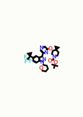 CC(C)(C)OC(=O)N1CCC2(CC2)C(Oc2cncc(-c3nn(C4CCCCO4)c4ccc(C5(C(F)(F)F)CC5)cc34)n2)C1